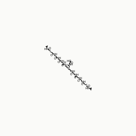 O=C(O)CNC(=O)CN(CCCNC(=O)CCNC(=O)CCNC(=O)CCNC(=O)CCSCC(=O)NC1CC1)CCCNC(=O)CCNC(=O)CCNC(=O)CCNC(=O)CCSCC(=O)NC1CC1